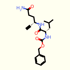 C#C[C@H](CCC(N)=O)NC(=O)[C@H](CC(C)C)NC(=O)OCc1ccccc1